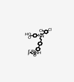 O=C(O)c1ccc(-n2cc(-c3ccc(Cl)cc3Cl)nc2C=Cc2ccc(-c3ccc(NS(=O)(=O)CC(F)(F)F)cc3)cc2)cc1